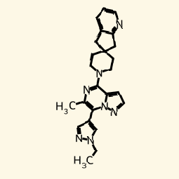 CCn1cc(-c2c(C)nc(N3CCC4(CC3)Cc3cccnc3C4)c3ccnn23)cn1